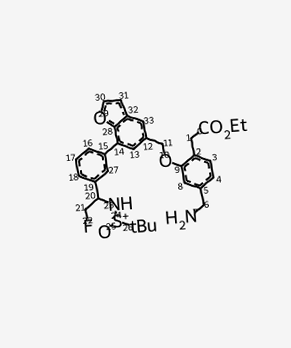 CCOC(=O)Cc1ccc(CN)cc1OCc1cc(-c2cccc(C(CF)N[S+]([O-])C(C)(C)C)c2)c2occc2c1